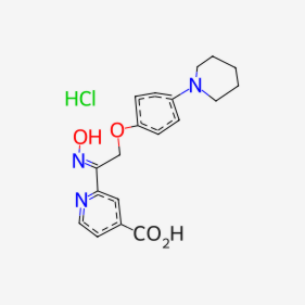 Cl.O=C(O)c1ccnc(/C(COc2ccc(N3CCCCC3)cc2)=N/O)c1